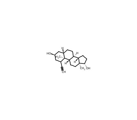 C#CC1C[C@@H](O)C[C@@H]2CC[C@H]3[C@@H]4CC[C@H](O)[C@@]4(C)CC[C@@H]3[C@@]12C